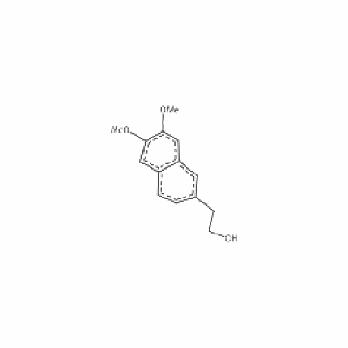 COc1cc2ccc(CCO)cc2cc1OC